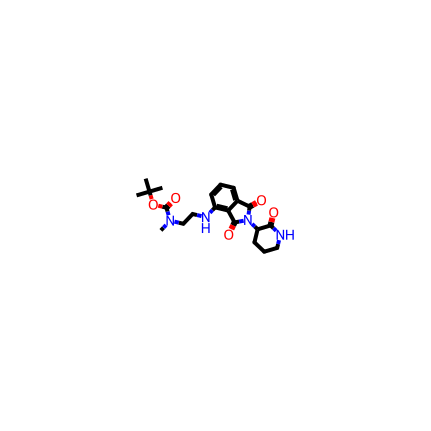 CN(CCNc1cccc2c1C(=O)N(C1CCCNC1=O)C2=O)C(=O)OC(C)(C)C